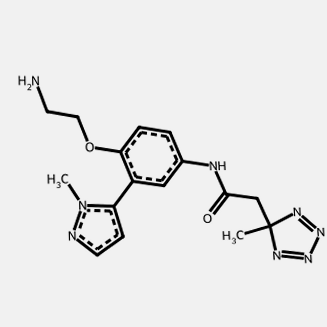 Cn1nccc1-c1cc(NC(=O)CC2(C)N=NN=N2)ccc1OCCN